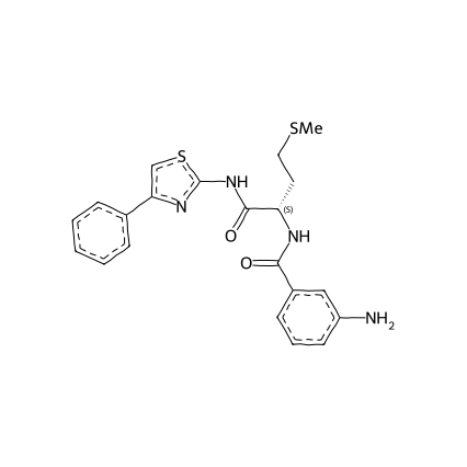 CSCC[C@H](NC(=O)c1cccc(N)c1)C(=O)Nc1nc(-c2ccccc2)cs1